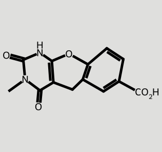 Cn1c(=O)[nH]c2c(c1=O)Cc1cc(C(=O)O)ccc1O2